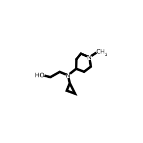 CN1CCC(N(CCO)C2CC2)CC1